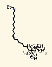 CC/C=C\CCCCCCCC/C=C\CCCCCCC(O)(C[N+](C)(C)C)P(=O)(O)O